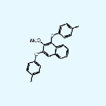 COc1c(Oc2ccc(C)cc2)cc2ccccc2c1Oc1ccc(C)cc1